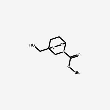 CC(C)(C)OC(=O)N1CC2(CO)CCC1CC2